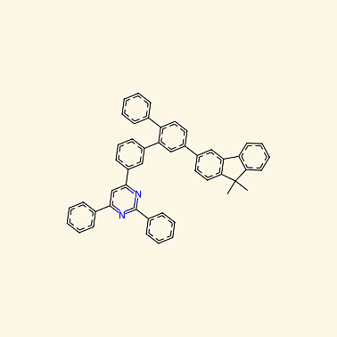 CC1(C)c2ccccc2-c2cc(-c3ccc(-c4ccccc4)c(-c4cccc(-c5cc(-c6ccccc6)nc(-c6ccccc6)n5)c4)c3)ccc21